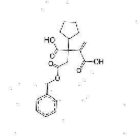 C=C(C(=O)O)C(CC(=O)OCc1ccccc1)(C(=O)O)C1CCCC1